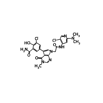 CN(C)c1cc(NC(=O)Cn2cc(-c3cc(Cl)c(O)c(C(N)=O)c3)c3c(=O)n(C)cnc32)c(Cl)cn1